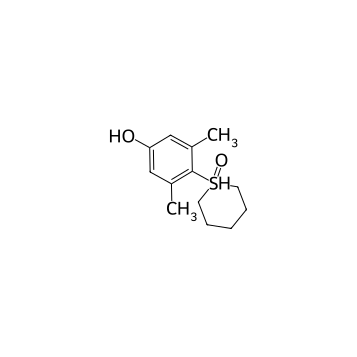 Cc1cc(O)cc(C)c1[SH]1(=O)CCCCC1